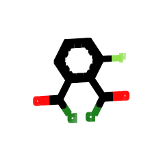 O=C(Cl)c1cccc(F)c1C(=O)Cl